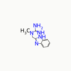 CN(Cc1nc2ccccc2[nH]1)C(=N)N